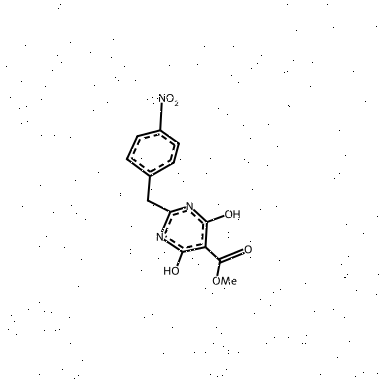 COC(=O)c1c(O)nc(Cc2ccc([N+](=O)[O-])cc2)nc1O